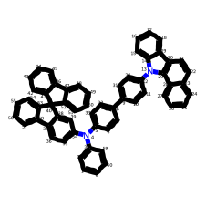 c1ccc(N(c2ccc(-c3ccc(-n4c5ccccc5c5ccc6ccccc6c54)cc3)cc2)c2ccc3c(c2)C2(c4ccccc4-c4ccccc42)c2ccccc2-3)cc1